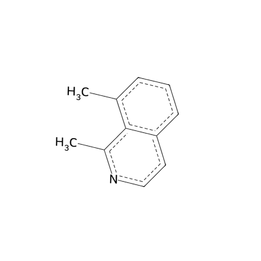 Cc1cccc2ccnc(C)c12